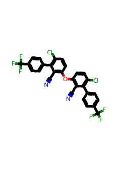 N#Cc1c(Oc2ccc(Cl)c(-c3ccc(C(F)(F)F)cc3)c2C#N)ccc(Cl)c1-c1ccc(C(F)(F)F)cc1